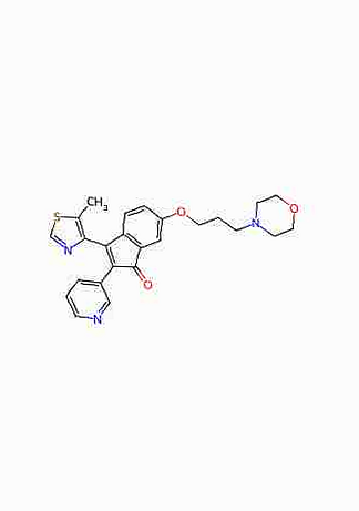 Cc1scnc1C1=C(c2cccnc2)C(=O)c2cc(OCCCN3CCOCC3)ccc21